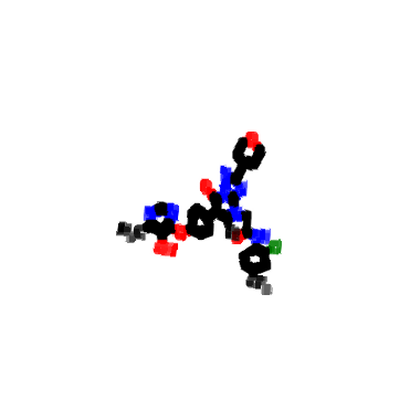 CCc1c(-c2ccc(Oc3ncnc(C)c3O)cc2)c(=O)n2nc(C3=CCOCC3)nc2n1CC(=O)Nc1ccc(C(F)(F)F)cc1Cl